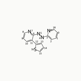 c1ccc(N=Nc2ncccc2-c2cccs2)nc1